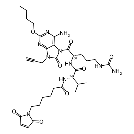 C#CCn1c(=O)n(C(=O)[C@H](CCCNC(N)=O)NC(=O)[C@@H](NC(=O)CCCCCN2C(=O)C=CC2=O)C(C)C)c2c(N)nc(OCCCC)nc21